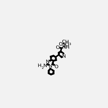 CS(=O)(=O)NC(=O)c1cncc(-c2ccc3nc(N)n(-c4ccccc4)c(=O)c3c2)c1